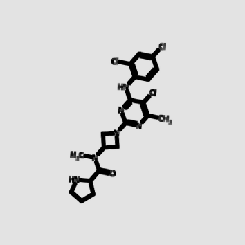 Cc1nc(N2CC(N(C)C(=O)C3CCCN3)C2)nc(Nc2ccc(Cl)cc2Cl)c1Cl